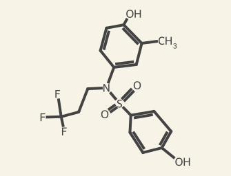 Cc1cc(N(CCC(F)(F)F)S(=O)(=O)c2ccc(O)cc2)ccc1O